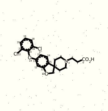 O=C(O)CCN1CCC2(CC1)COc1cc(Oc3c(Cl)cccc3Cl)ccc12